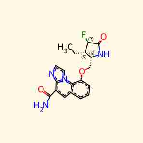 CC[C@H]1[C@@H](COc2cccc3cc(C(N)=O)c4nccn4c23)NC(=O)[C@@H]1F